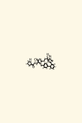 CCCCc1nc(Cl)c(COC(=O)[C@@H]2CCCN2)n1Cc1ccc(-c2ccccc2-c2nn[nH]n2)cc1